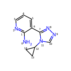 Nc1ncccc1-c1nncn1C1CC1